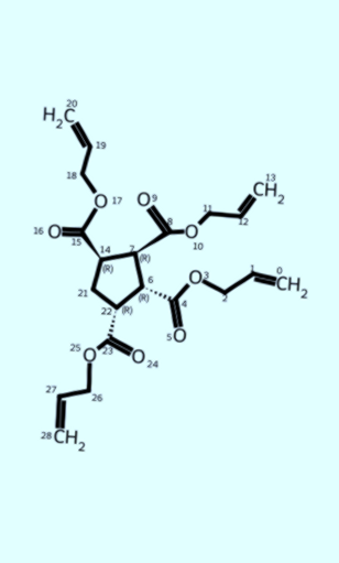 C=CCOC(=O)[C@H]1[C@H](C(=O)OCC=C)[C@H](C(=O)OCC=C)C[C@H]1C(=O)OCC=C